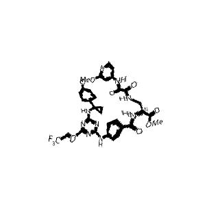 COC(=O)[C@H](CNC(=O)C(=O)Nc1ccnc(OC)c1)NC(=O)c1ccc(Nc2nc(NC3(c4ccc(Cl)cc4)CC3)nc(OCC(F)(F)F)n2)cc1